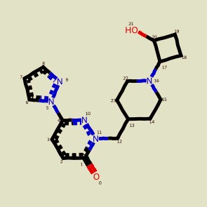 O=c1ccc(-n2cccn2)nn1CC1CCN(C2CCC2O)CC1